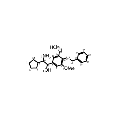 COc1cc(C(O)C(N)C2CCCC2)cc(Cl)c1OCc1ccccc1.Cl